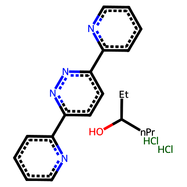 CCCC(O)CC.Cl.Cl.c1ccc(-c2ccc(-c3ccccn3)nn2)nc1